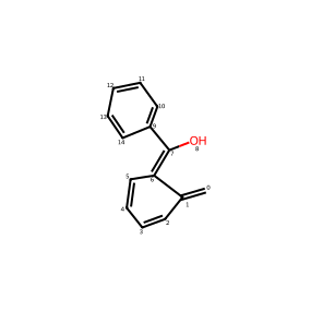 C=c1cccc/c1=C(/O)c1ccccc1